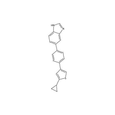 [c]1cc(-c2ccc3[nH]cnc3c2)ccc1-c1csc(C2CC2)c1